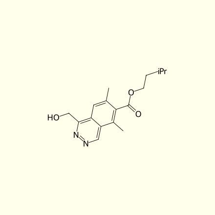 Cc1cc2c(CO)nncc2c(C)c1C(=O)OCCC(C)C